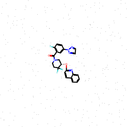 O=C(c1cc(-n2nccn2)ccc1F)N1CCC(F)(F)[C@@H](Oc2ccc3ccccc3n2)C1